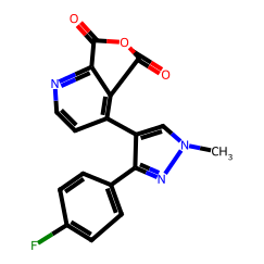 Cn1cc(-c2ccnc3c2C(=O)OC3=O)c(-c2ccc(F)cc2)n1